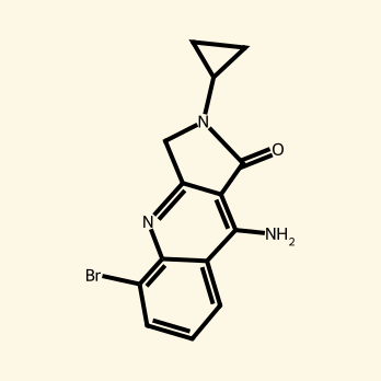 Nc1c2c(nc3c(Br)cccc13)CN(C1CC1)C2=O